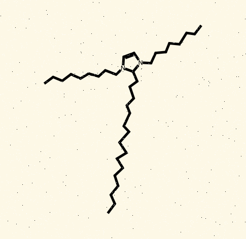 CCCCCCCCCCCCCCCCC1N(CCCCCCCC)C=CN1CCCCCCCCC